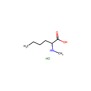 CCCCC(NC)C(=O)O.Cl